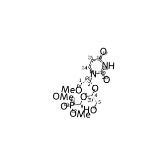 COC[C@@H](O[C@H](CO)OCP(=O)(OC)OC)n1ccc(=O)[nH]c1=O